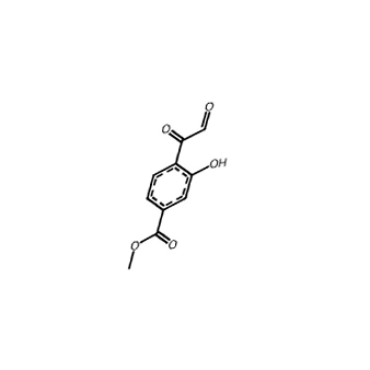 COC(=O)c1ccc(C(=O)C=O)c(O)c1